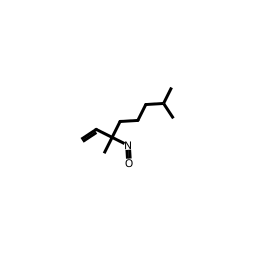 C=CC(C)(CCCC(C)C)N=O